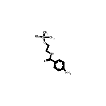 CC(C)(C)[Si](C)(C)OCCNC(=O)c1ccc(N)cc1